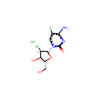 Cl.Nc1nc(=O)n([C@@H]2O[C@H](CO)[C@@H](O)[C@H]2Br)cc1F